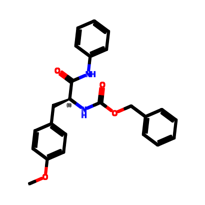 COc1ccc(C[C@H](NC(=O)OCc2ccccc2)C(=O)Nc2ccccc2)cc1